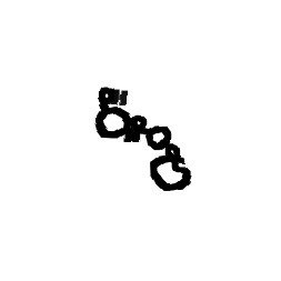 OCC1CCCCC2N=C(C3CCCC(OC4CCCCCCCCC4)CC3)OC2CC1